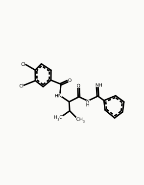 CC(C)C(NC(=O)c1ccc(Cl)c(Cl)c1)C(=O)NC(=N)c1ccccc1